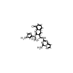 C[C@H](Nc1nc(N)n2nccc2n1)c1cc2cccc(Cl)c2nc1N(C)c1cn(C)cn1